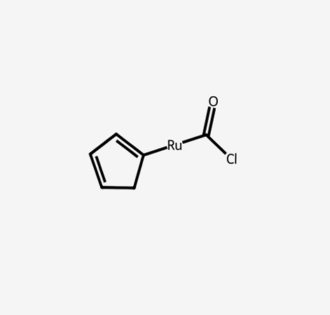 O=[C](Cl)[Ru][C]1=CC=CC1